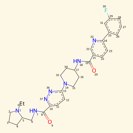 CCN1CCCC1CNC(=O)c1ccc(N2CCC(NC(=O)c3ccc(-c4cccc(F)c4)nc3)CC2)nn1